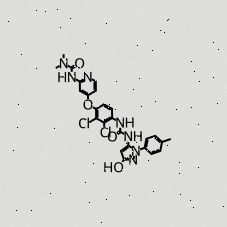 Cc1ccc(-n2nc(O)cc2NC(=O)Nc2ccc(Oc3ccnc(NC(=O)N(C)C)c3)c(Cl)c2Cl)cc1